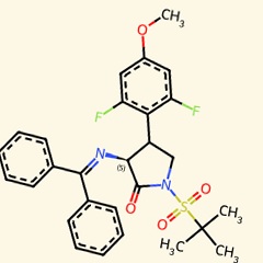 COc1cc(F)c(C2CN(S(=O)(=O)C(C)(C)C)C(=O)[C@H]2N=C(c2ccccc2)c2ccccc2)c(F)c1